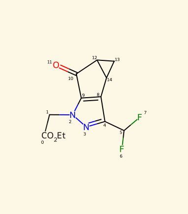 CCOC(=O)Cn1nc(C(F)F)c2c1C(=O)C1CC21